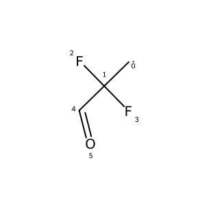 [CH2]C(F)(F)C=O